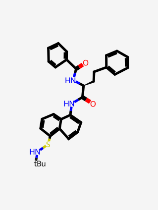 CC(C)(C)NSc1cccc2c(NC(=O)[C@H](CCc3ccccc3)NC(=O)c3ccccc3)cccc12